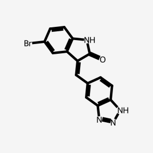 O=C1Nc2ccc(Br)cc2C1=Cc1ccc2[nH]nnc2c1